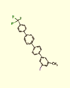 Cc1cc(I)cc(-c2ccc(-c3ccc(-c4ccc(C(F)(F)F)cc4)cc3)cc2)c1